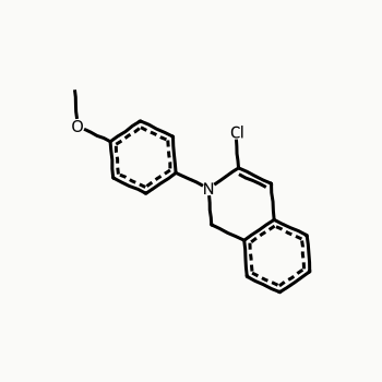 COc1ccc(N2Cc3ccccc3C=C2Cl)cc1